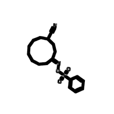 N#CC1CCCCCCCC(=NOS(=O)(=O)c2ccccc2)CC1